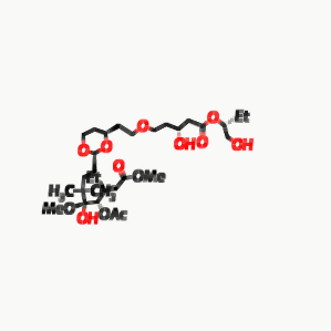 CC/C(=C\C(=O)OC)[C@H](OC(C)=O)[C@@](O)(OC)C(C)(C)/C=C/[C@H]1OCC[C@@H](CCOCC[C@@H](O)CC(=O)O[C@H](CC)CO)O1